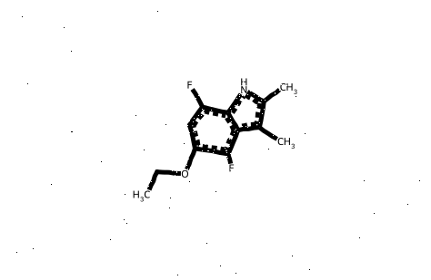 CCOc1cc(F)c2[nH]c(C)c(C)c2c1F